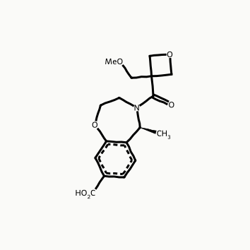 COCC1(C(=O)N2CCOc3cc(C(=O)O)ccc3[C@@H]2C)COC1